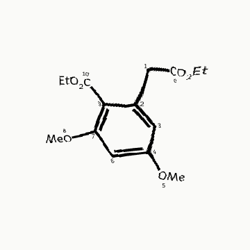 CCOC(=O)Cc1cc(OC)cc(OC)c1C(=O)OCC